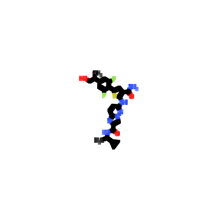 CC(CO)c1cc(F)c(-c2cc(C(N)=O)c(Nc3ccc4nc(C(=O)NC(C)C5CC5)cn4n3)s2)c(F)c1